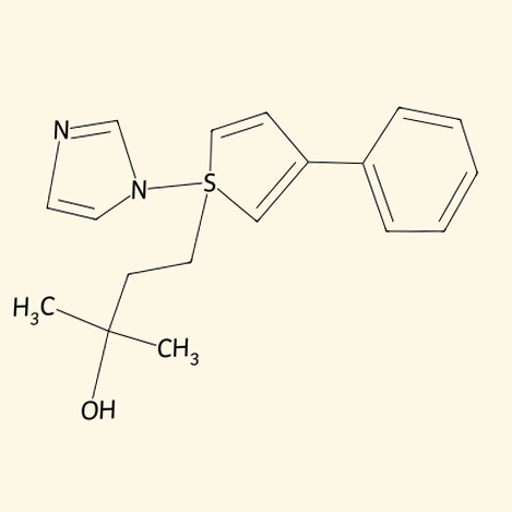 CC(C)(O)CCS1(n2ccnc2)C=CC(c2ccccc2)=C1